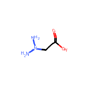 NN(N)CC(=O)O